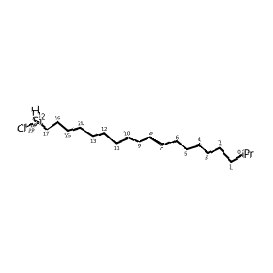 CC(C)CCCCCCCCCCCCCCCCC[SiH2]Cl